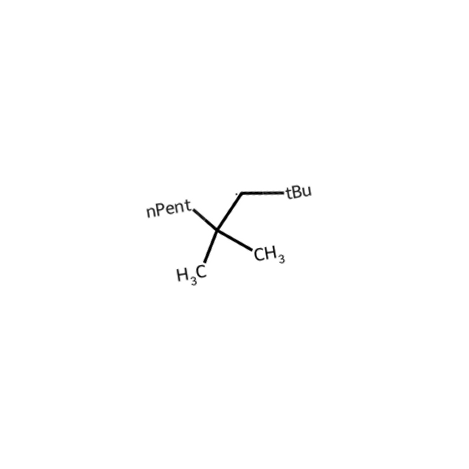 CCCCCC(C)(C)[CH]C(C)(C)C